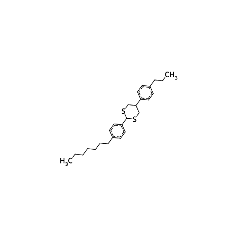 CCCCCCCc1ccc(C2SCC(c3ccc(CCC)cc3)CS2)cc1